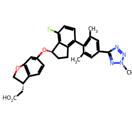 Cc1cc(-c2nnn(C)n2)cc(C)c1-c1ccc(F)c2c1CC[C@H]2Oc1ccc2c(c1)OC[C@H]2CC(=O)O